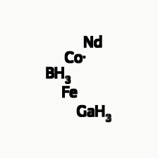 B.[Co].[Fe].[GaH3].[Nd]